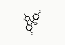 CC1CN2C(=N1)c1ccc(Cl)cc1C2(O)c1ccc(Cl)cc1